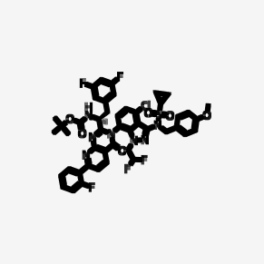 COc1ccc(CN(c2nn(CC(F)F)c3c(-n4c([C@H](Cc5cc(F)cc(F)c5)NC(=O)OC(C)(C)C)nc5nc(-c6ccccc6F)ccc5c4=O)ccc(Cl)c23)S(=O)(=O)C2CC2)cc1